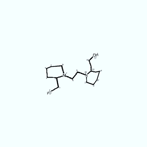 OCC1CCCCN1CCN1CCCCC1CO